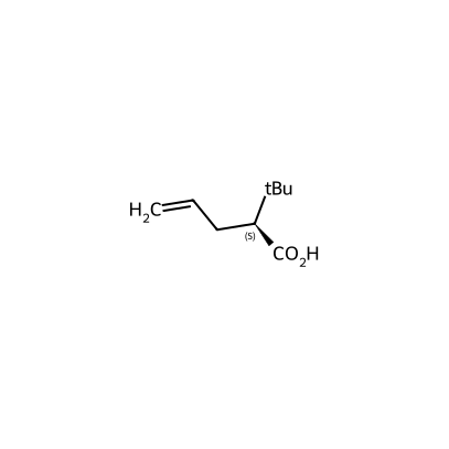 C=CC[C@H](C(=O)O)C(C)(C)C